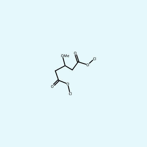 COC(CC(=O)OCl)CC(=O)OCl